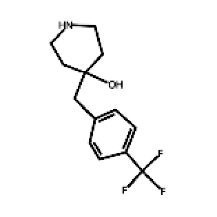 OC1(Cc2ccc(C(F)(F)F)cc2)CCNCC1